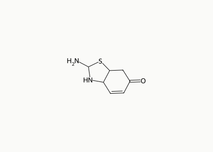 NC1NC2C=CC(=O)CC2S1